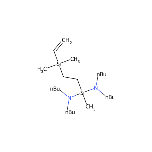 C=C[Si](C)(C)CC[Si](C)(N(CCCC)CCCC)N(CCCC)CCCC